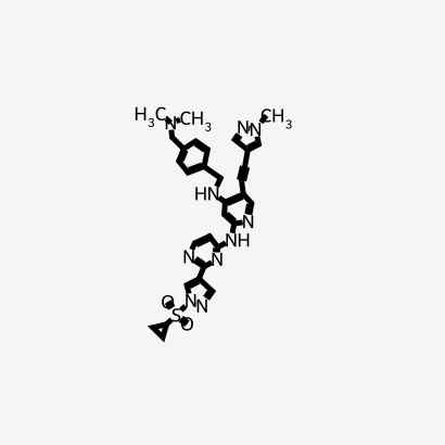 CN(C)Cc1ccc(CNc2cc(Nc3ccnc(-c4cnn(S(=O)(=O)C5CC5)c4)n3)ncc2C#Cc2cnn(C)c2)cc1